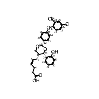 O=C(O)CC/C=C\C[C@@H]1CO[C@H](c2ccc(Oc3ccc(Cl)cc3Cl)cc2)O[C@@H]1c1ccccc1O